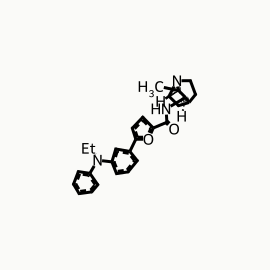 CCN(c1ccccc1)c1cccc(-c2ccc(C(=O)N[C@@H]3C4CCN(CC4)[C@H]3C)o2)c1